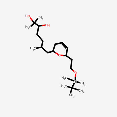 CC(CCC(O)C(C)(C)O)CC1CC=CC(CCO[Si](C)(C)C(C)(C)C)O1